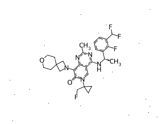 Cc1nc(N[C@H](C)c2cccc(C(F)F)c2F)c2cn(C3(CF)CC3)c(=O)c(N3CC4(CCOCC4)C3)c2n1